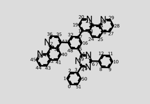 c1ccc(-c2nc(-c3ccccc3)nc(-c3cc(-c4ccnc5c4ccc4cccnc45)cc(-c4ccnc5c4ccc4cccnc45)c3)n2)cc1